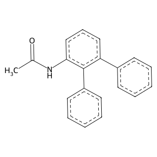 CC(=O)Nc1cccc(-c2ccccc2)c1-c1ccccc1